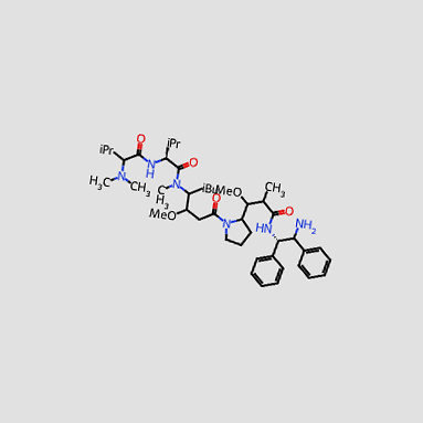 CCC(C)C(C(CC(=O)N1CCCC1C(OC)C(C)C(=O)N[C@@H](c1ccccc1)C(N)c1ccccc1)OC)N(C)C(=O)[C@@H](NC(=O)C(C(C)C)N(C)C)C(C)C